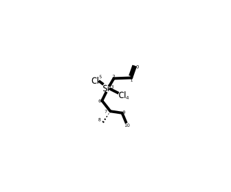 C=CC[Si](Cl)(Cl)C[C@@H](C)CC